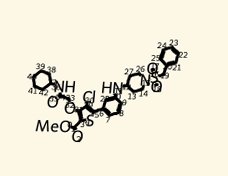 COC(=O)c1sc(-c2cccc(NC3CCN(S(=O)(=O)Cc4ccccc4)CC3)c2)c(Cl)c1OCC(=O)NC1CCCCC1